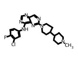 CN1CCC(C2CCN(c3ncc4ncnc(Nc5ccc(F)c(Cl)c5)c4n3)CC2)CC1